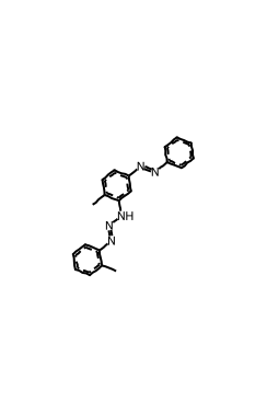 Cc1ccccc1N=NNc1cc(N=Nc2ccccc2)ccc1C